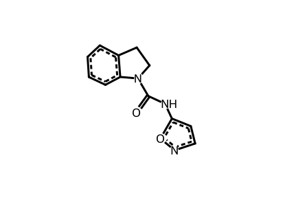 O=C(Nc1ccno1)N1CCc2ccccc21